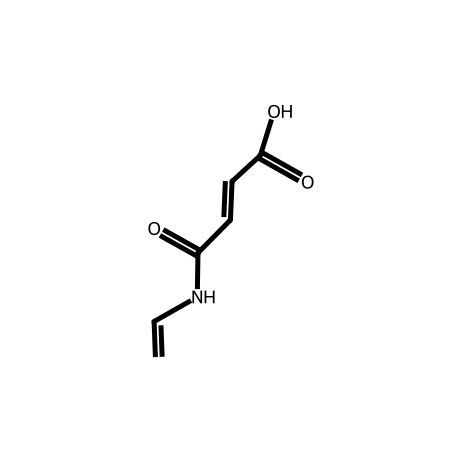 C=CNC(=O)C=CC(=O)O